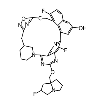 Oc1cc2c3c(c(F)ccc3c1)CCc1nc(no1)CC1CCCN(C1)c1nc(OCC34CCCN3CC(F)C4)nc3c(F)c-2ncc13